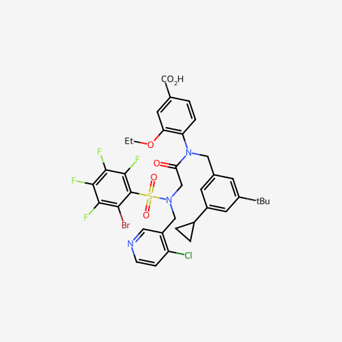 CCOc1cc(C(=O)O)ccc1N(Cc1cc(C2CC2)cc(C(C)(C)C)c1)C(=O)CN(Cc1cnccc1Cl)S(=O)(=O)c1c(F)c(F)c(F)c(F)c1Br